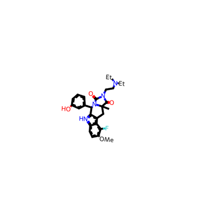 CCN(CC)CCN1C(=O)N2C(c3cccc(O)c3)c3[nH]c4ccc(OC)c(F)c4c3CC2(C)C1=O